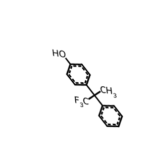 CC(c1ccccc1)(c1ccc(O)cc1)C(F)(F)F